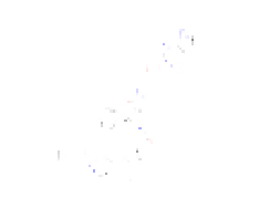 COc1cc(-c2sc(C(=O)N3CC[C@@H](C(=O)N4CCC(O)(Cn5cnc6c(ccn6C)c5=O)CC4)[C@H](c4ccccc4)C3)cc2C)ccn1